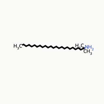 CCCCCCCCCCCCCCCCCCCCCCCC(C)(C)N